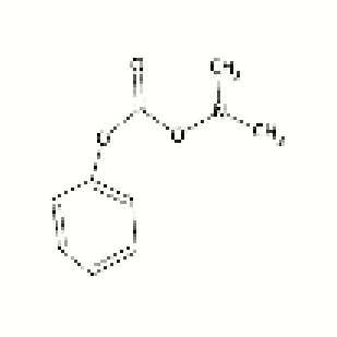 CN(C)OC(=O)Oc1ccccc1